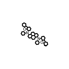 c1ccc2c(c#1)oc1c(N(c3ccccc3)c3ccc4ccc5c(N(c6ccccc6)c6cccc7c6oc6ccccc67)ccc6ccc3c4c65)cccc12